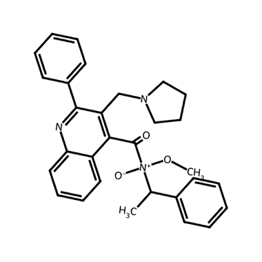 CO[N+]([O-])(C(=O)c1c(CN2CCCC2)c(-c2ccccc2)nc2ccccc12)C(C)c1ccccc1